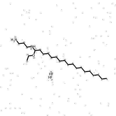 CCCCCCCCCCCCCCCCCC(NCCCN)OCC.F.F